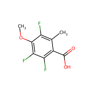 COc1c(F)c(C)c(C(=O)O)c(F)c1F